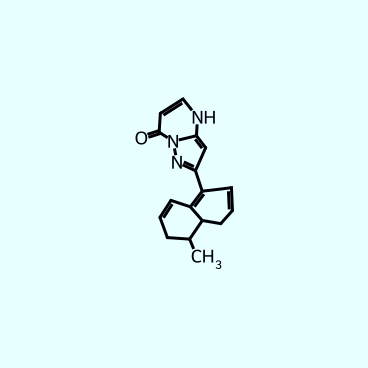 CC1CC=CC2=C(c3cc4[nH]ccc(=O)n4n3)C=CCC21